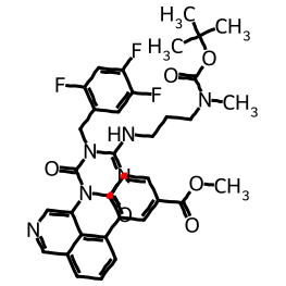 COC(=O)c1cccc(-c2cccc3cncc(-n4c(=O)nc(NCCCN(C)C(=O)OC(C)(C)C)n(Cc5cc(F)c(F)cc5F)c4=O)c23)c1